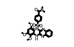 COc1cc(Nc2nc3ccccc3nc2NS(=O)(=O)c2ccc(C(=O)N(C)C)cc2)c(OC)c(OC)c1